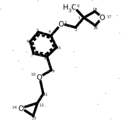 CC1(COc2cccc(COCC3CO3)c2)COC1